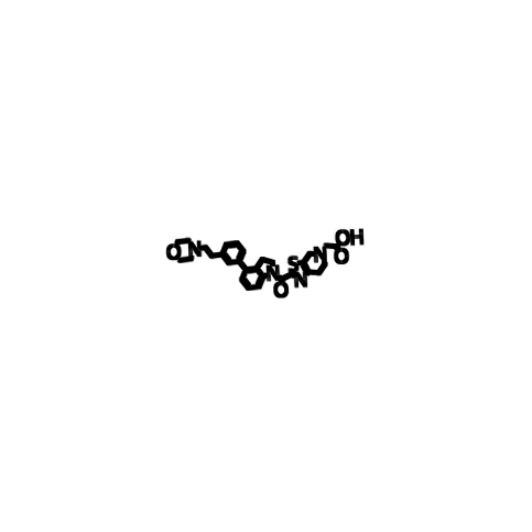 O=C(O)CN1CCc2nc(C(=O)N3CCc4c(-c5cccc(CCN6CCOCC6)c5)cccc43)sc2C1